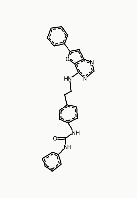 O=C(Nc1ccccc1)Nc1ccc(CCNc2ncnc3cc(-c4ccccc4)oc23)cc1